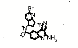 CN(C(=O)c1ccc2nc(N)c3cnn(C)c3c2c1)[C@@H]1CCc2nc(Br)ccc21